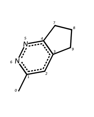 Cc1cc2c(nn1)CCC2